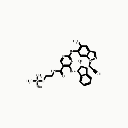 C#CCn1ncc2cc(C)c(Nc3ncc(C(=O)NCCO[Si](C)(C)C(C)(C)C)c(N[C@H]4c5ccccc5C[C@H]4O)n3)cc21